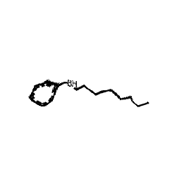 CCCCCCCCBc1ccccc1